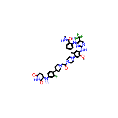 CNC(=O)c1ccccc1Nc1nc(Nc2cc(C)c(N3CCN(C(=O)CN4CCC(c5ccc(NC6CCC(=O)NC6=O)cc5F)CC4)CC3)cc2OC)ncc1C(F)(F)F